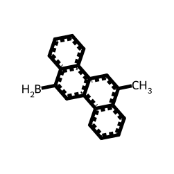 Bc1cc2c3ccccc3c(C)cc2c2ccccc12